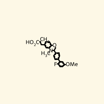 COc1ccc(F)c(-c2ccc(C3COc4ccc(CC(C)C(=O)O)cc4N3C)cc2)c1